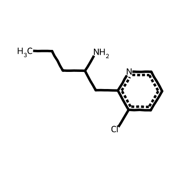 CCCC(N)Cc1ncccc1Cl